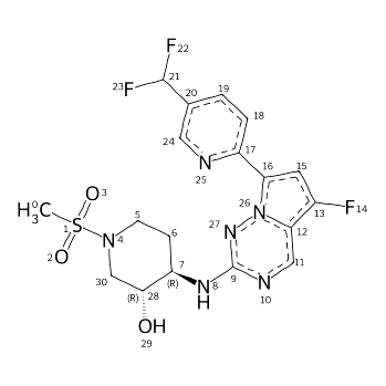 CS(=O)(=O)N1CC[C@@H](Nc2ncc3c(F)cc(-c4ccc(C(F)F)cn4)n3n2)[C@H](O)C1